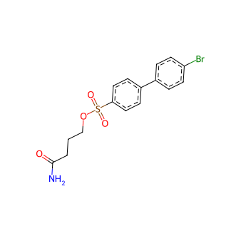 NC(=O)CCCOS(=O)(=O)c1ccc(-c2ccc(Br)cc2)cc1